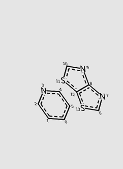 c1ccncc1.c1nc2ncsc2s1